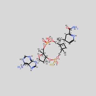 CC1([C@@H]2C[C@@H]3COP(=O)(S)O[C@H]4C[C@H](n5cnc6c(N)ncnc65)O[C@@H]4COP(=O)(O)OC[C@H]32)C=CN=C(C(N)=O)C1